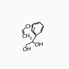 C=CC.OCC(O)c1ccccc1